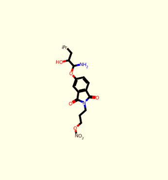 CC(C)CC(O)C(N)Oc1ccc2c(c1)C(=O)N(CCCO[N+](=O)[O-])C2=O